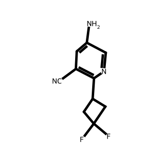 N#Cc1cc(N)cnc1C1CC(F)(F)C1